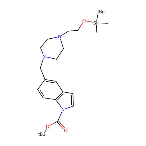 CC(C)(C)OC(=O)n1ccc2cc(CN3CCN(CCO[Si](C)(C)C(C)(C)C)CC3)ccc21